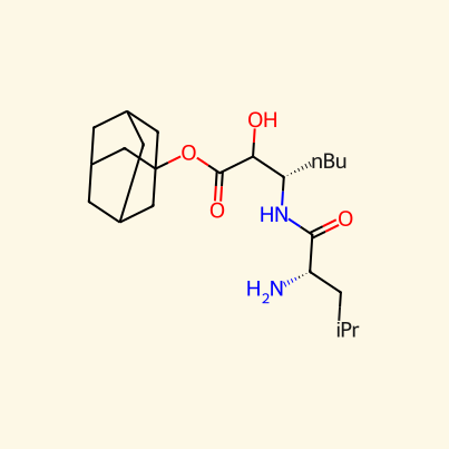 CCCC[C@H](NC(=O)[C@@H](N)CC(C)C)C(O)C(=O)OC12CC3CC(CC(C3)C1)C2